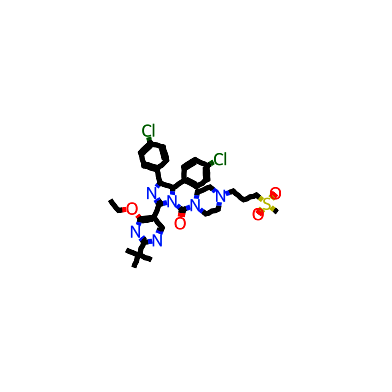 CCOc1nc(C(C)(C)C)ncc1C1=NC(c2ccc(Cl)cc2)C(c2ccc(Cl)cc2)N1C(=O)N1CCN(CCCS(C)(=O)=O)CC1